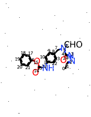 Cc1nnc(N(C=O)Cc2ccc(NC(=O)Oc3ccccc3)cc2)o1